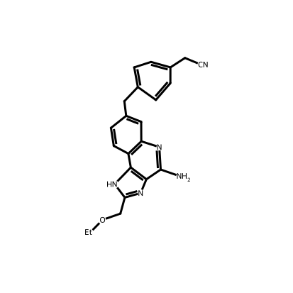 CCOCc1nc2c(N)nc3cc(Cc4ccc(CC#N)cc4)ccc3c2[nH]1